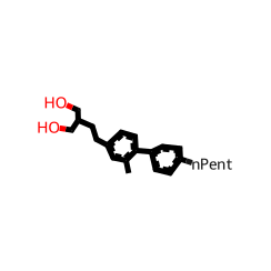 CCCCCc1ccc(-c2ccc(CCC(CO)CO)cc2C)cc1